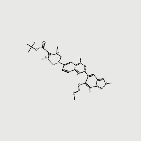 COCOc1c(-c2nc(C)c3cc(N4C[C@H](C)N(C(=O)OC(C)(C)C)[C@@H](C)C4)ccc3n2)cc2cn(C)nc2c1C